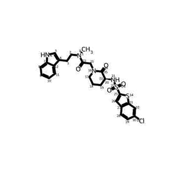 CN(CCc1c[nH]c2ccccc12)C(=O)CN1CCC[C@H](NS(=O)(=O)c2cc3ccc(Cl)cc3s2)C1=O